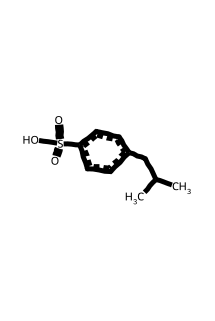 CC(C)Cc1ccc(S(=O)(=O)O)cc1